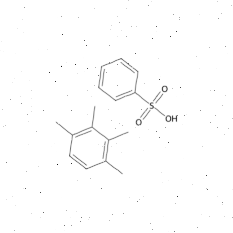 Cc1ccc(C)c(C)c1C.O=S(=O)(O)c1ccccc1